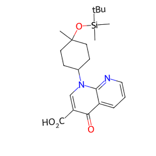 CC1(O[Si](C)(C)C(C)(C)C)CCC(n2cc(C(=O)O)c(=O)c3cccnc32)CC1